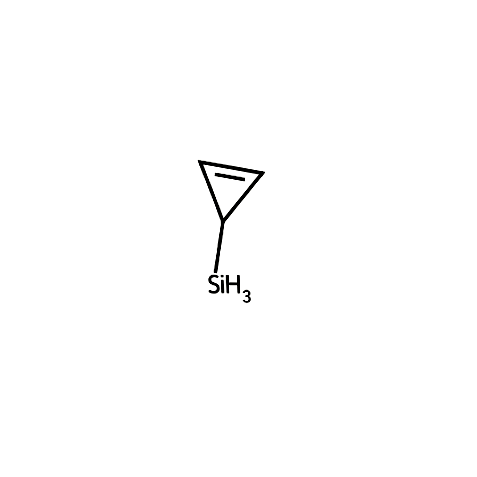 [SiH3]C1C=C1